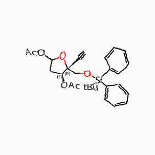 C#C[C@]1(CO[Si](c2ccccc2)(c2ccccc2)C(C)(C)C)OC(OC(C)=O)C[C@@H]1OC(C)=O